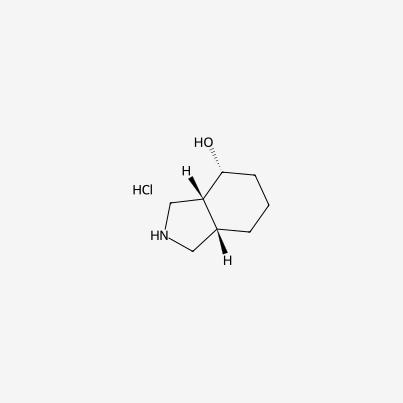 Cl.O[C@@H]1CCC[C@@H]2CNC[C@@H]21